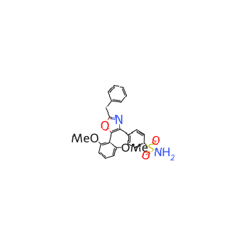 COc1cccc(OC)c1-c1oc(Cc2ccccc2)nc1-c1ccc(S(N)(=O)=O)cc1